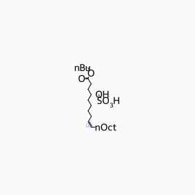 CCCCCCCC/C=C\CCCCCCCC(=O)OCCCC.O=S(=O)(O)O